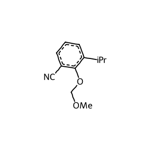 COCOc1c(C#N)cccc1C(C)C